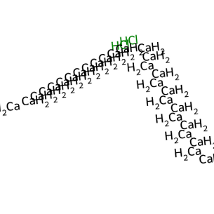 Cl.Cl.[CaH2].[CaH2].[CaH2].[CaH2].[CaH2].[CaH2].[CaH2].[CaH2].[CaH2].[CaH2].[CaH2].[CaH2].[CaH2].[CaH2].[CaH2].[CaH2].[CaH2].[CaH2].[CaH2].[CaH2].[CaH2].[CaH2].[CaH2].[CaH2].[CaH2].[CaH2].[CaH2]